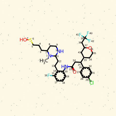 CN1C(CCCSO)CCNC1CCc1c(F)cccc1NC(=O)CC(c1ccc(Cl)cc1)C1CCOC(CC(F)(F)F)C1